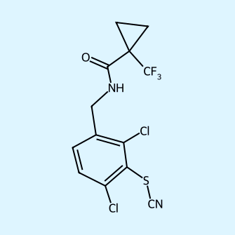 N#CSc1c(Cl)ccc(CNC(=O)C2(C(F)(F)F)CC2)c1Cl